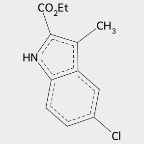 CCOC(=O)c1[nH]c2ccc(Cl)cc2c1C